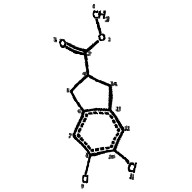 COC(=O)C1Cc2cc(Cl)c(Cl)cc2C1